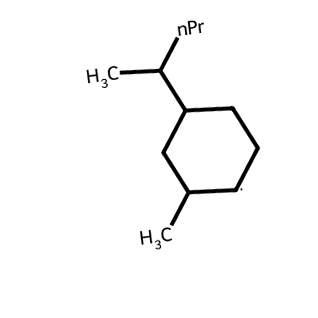 C[CH]CC(C)C1CC[CH]C(C)C1